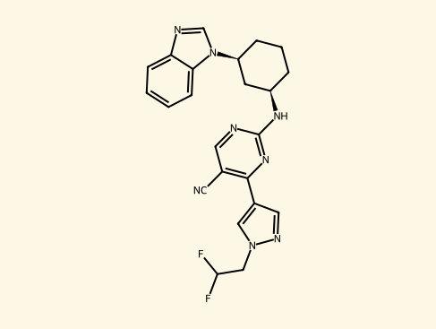 N#Cc1cnc(N[C@@H]2CCC[C@H](n3cnc4ccccc43)C2)nc1-c1cnn(CC(F)F)c1